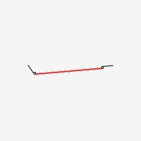 CCCCCCCCCc1ccc(OCCOCCOCCOCCOCCOCCOCCOCCOCCOCCOCCOCCOCCOCCOCCOCCOCCOCCOCCOCCOc2ccc(CCCCCCCCC)cc2)cc1